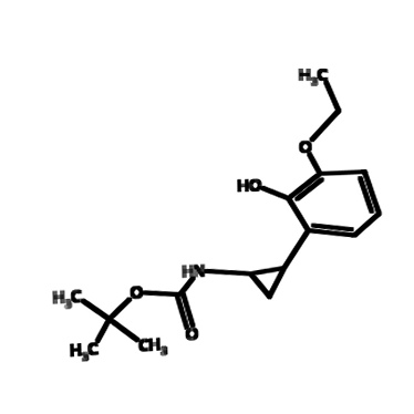 CCOc1cccc(C2CC2NC(=O)OC(C)(C)C)c1O